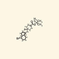 CC(C)(C)OC(=O)N1CCC(F)(Cn2ccc3c(Br)cccc32)CC1